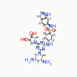 N[C@@H]1C[C@H](N)CN(c2nc(Nc3ccc(S(=O)(=O)Nc4ccc5cn[nH]c5c4)cc3)nc(N3C[C@@H](O)[C@@H](O)C3)n2)C1